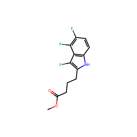 COC(=O)CCCc1[nH]c2ccc(F)c(F)c2c1F